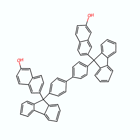 Oc1ccc2cc(C3(c4ccc(-c5ccc(C6(c7ccc8ccc(O)cc8c7)c7ccccc7-c7ccccc76)cc5)cc4)c4ccccc4-c4ccccc43)ccc2c1